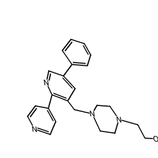 OCCN1CCN(Cc2cc(-c3ccccc3)cnc2-c2ccncc2)CC1